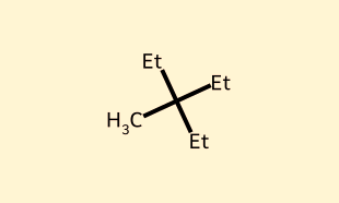 [CH2]CC(C)(C[CH2])CC